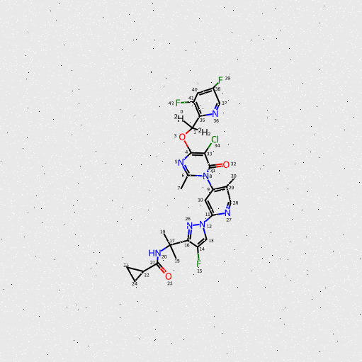 [2H]C([2H])(Oc1nc(C)n(-c2cc(-n3cc(F)c(C(C)(C)NC(=O)C4CC4)n3)ncc2C)c(=O)c1Cl)c1ncc(F)cc1F